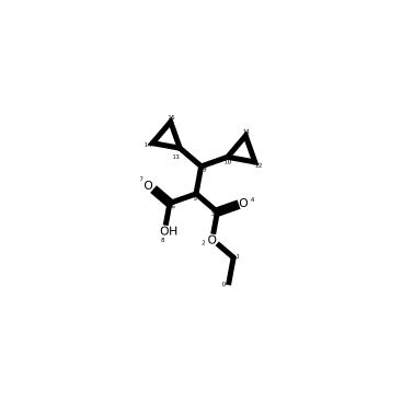 CCOC(=O)C(C(=O)O)C(C1CC1)C1CC1